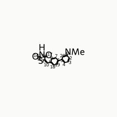 CNc1cccc(-c2ccc(C=C3SC(=O)NC3=O)cc2)c1